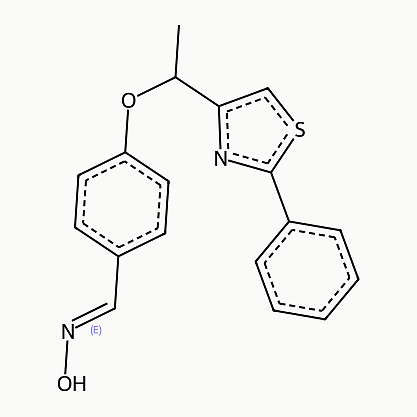 CC(Oc1ccc(/C=N/O)cc1)c1csc(-c2ccccc2)n1